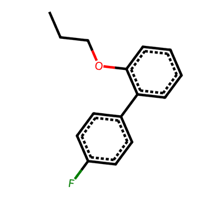 CCCOc1ccccc1-c1ccc(F)cc1